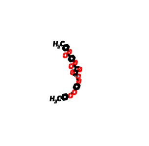 Cc1ccc(OCOc2ccc(OCO[C@@H]3COC4C(C(=O)Oc5ccc(C(=O)Oc6ccc(C)cc6)cc5)COC43)cc2)cc1